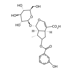 C[C@H]1C(OC(=O)c2cccc(O)c2)C[C@@H]2C(C(=O)O)=CO[C@@H](O[C@@H]3O[C@H](CO)[C@@H](O)[C@H](O)[C@H]3O)[C@@H]21